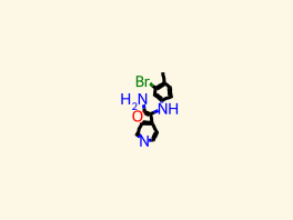 Cc1ccc(Nc2c(N)oc3cnccc23)cc1Br